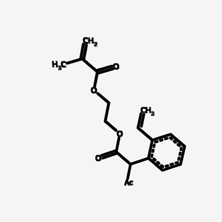 C=Cc1ccccc1C(C(C)=O)C(=O)OCCOC(=O)C(=C)C